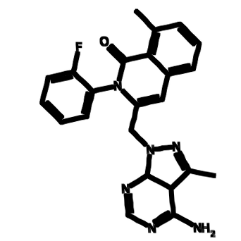 CC1=NN(Cc2cc3cccc(C)c3c(=O)n2-c2ccccc2F)C2N=CN=C(N)C12